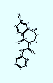 O=C(Nc1ccccn1)C1CCOc2cc(Cl)ccc2C1=O